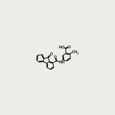 Cc1ccc(NC(=O)c2cccc3c2C(=O)c2ccccc2-3)cc1C(=O)O